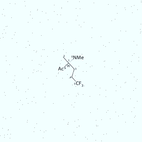 CN[C@](C)(CCC(F)(F)F)C(C)=O